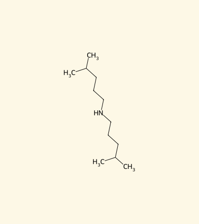 CC(C)CCCNCCCC(C)C